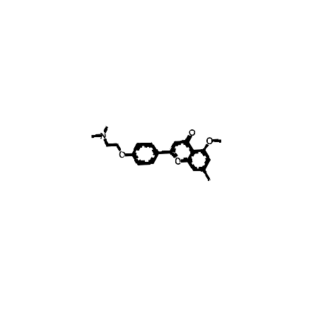 COc1cc(C)cc2oc(-c3ccc(OCCN(C)C)cc3)cc(=O)c12